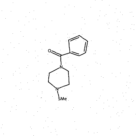 CSN1CCN(C(=O)c2ccccc2)CC1